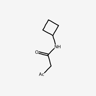 CC(=O)CC(=O)NC1CCC1